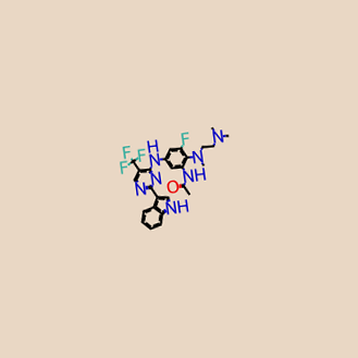 CC(=O)Nc1cc(Nc2nc(-c3c[nH]c4ccccc34)ncc2C(F)(F)F)cc(F)c1N(C)CCN(C)C